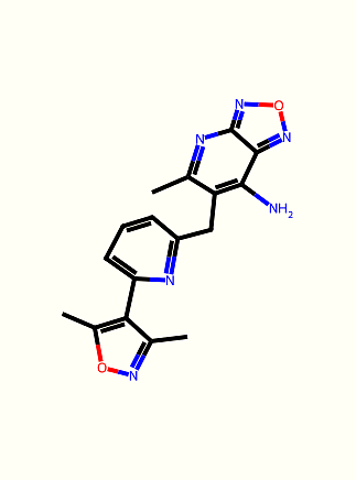 Cc1nc2nonc2c(N)c1Cc1cccc(-c2c(C)noc2C)n1